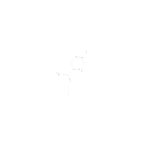 CCOC=C(C#N)c1ccc(Br)cn1